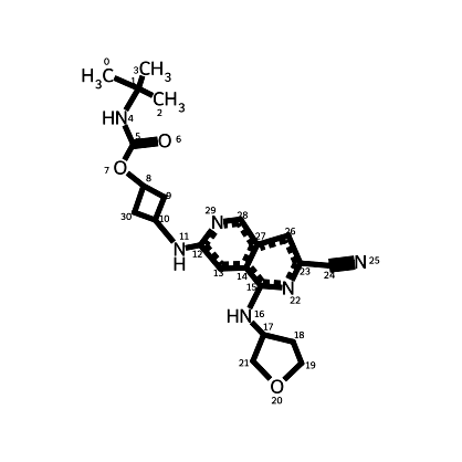 CC(C)(C)NC(=O)OC1CC(Nc2cc3c(NC4CCOC4)nc(C#N)cc3cn2)C1